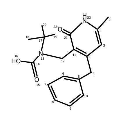 Cc1cc(Cc2ccccc2)c(CN(C(=O)O)C(C)(C)C)c(=O)[nH]1